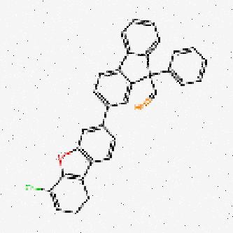 P=CC1(c2ccccc2)c2ccccc2-c2ccc(-c3ccc4c5c(oc4c3)C(Cl)=CCC5)cc21